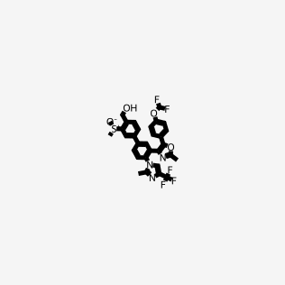 Cc1nc(-c2cc(-c3ccc(CO)c([S+](C)[O-])c3)ccc2-n2cc(C(F)(F)F)nc2C)c(-c2ccc(OC(F)F)cc2)o1